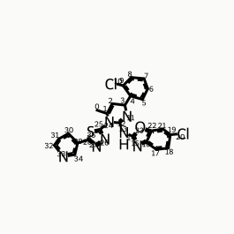 CC1=CC(c2ccccc2Cl)N=C(Nc2nc3ccc(Cl)cc3o2)N1c1nnc(-c2cccnc2)s1